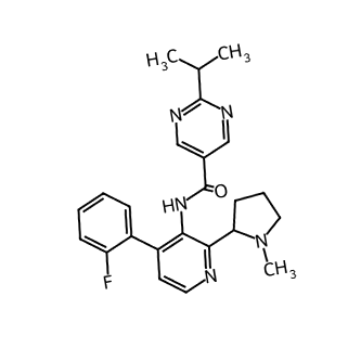 CC(C)c1ncc(C(=O)Nc2c(-c3ccccc3F)ccnc2C2CCCN2C)cn1